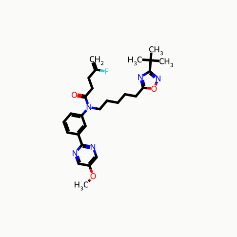 C=C(F)CCC(=O)N(CCCCCc1nc(C(C)(C)C)no1)c1cccc(-c2ncc(OC)cn2)c1